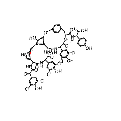 CN1C(=O)C(c2cc(Cl)c(O)c(Cl)c2)NC(=O)C2NC(=O)C(c3cc(Cl)c(O)c(Cl)c3)NC(=O)C(NC(=O)C(=O)c3cc(Cl)c(O)c(Cl)c3)c3c[nH]c4c(cccc34)-c3cc2cc(c3O)Oc2ccc(cc2)CC1C(=O)NC(C(=O)O)c1ccc(O)cc1